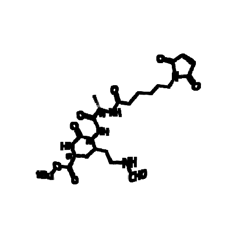 C[C@H](NC(=O)CCCCCN1C(=O)C=CC1=O)C(=O)N[C@@H]1C(=O)N[C@H](C(=O)OC(C)(C)C)CC1CCNC=O